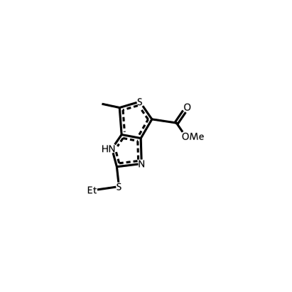 CCSc1nc2c(C(=O)OC)sc(C)c2[nH]1